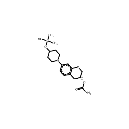 CC(C)(C)[Si](C)(C)OC1CCN(c2ccc3c(c2)OC[C@H](OC(N)=O)C3)CC1